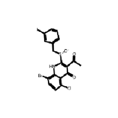 CC(=O)c1c([S+]([O-])Cc2cccc(I)c2)[nH]c2c(Br)ccc(Cl)c2c1=O